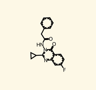 O=C(Cc1ccccc1)Nn1c(C2CC2)nc2cc(F)ccc2c1=O